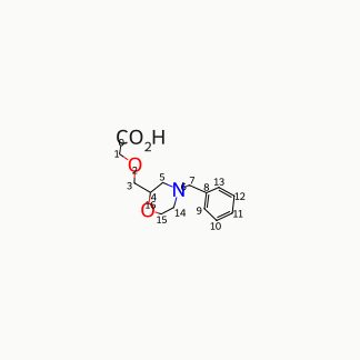 O=C(O)COCC1CN(Cc2ccccc2)CCO1